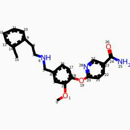 COc1cc(CNCCc2ccccc2C)ccc1Oc1ccc(C(N)=O)cn1